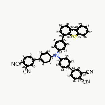 N#Cc1ccc(C2=CCC(N(c3ccc(-c4ccc(C#N)c(C#N)c4)cc3)c3ccc(-c4cccc5c4sc4ccccc45)cc3)C=C2)cc1C#N